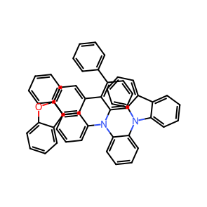 c1ccc(-c2cccc(N(c3ccccc3-n3c4ccccc4c4ccccc43)c3cccc(-c4ccccc4)c3-c3ccc4oc5ccccc5c4c3)c2)cc1